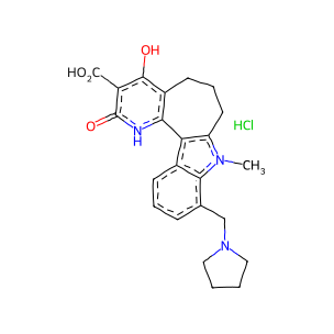 Cl.Cn1c2c(c3cccc(CN4CCCC4)c31)-c1[nH]c(=O)c(C(=O)O)c(O)c1CCC2